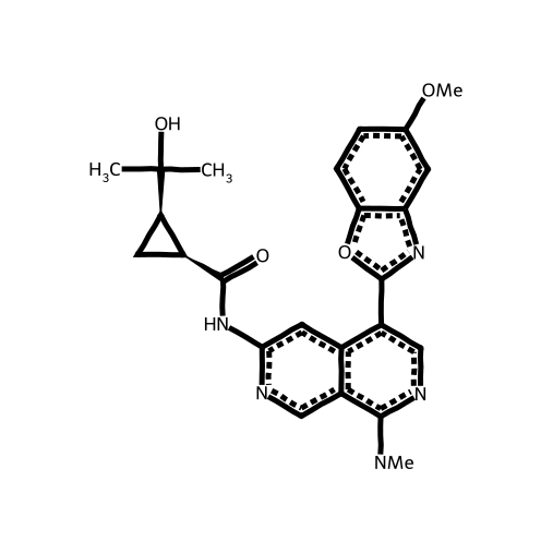 CNc1ncc(-c2nc3cc(OC)ccc3o2)c2cc(NC(=O)[C@H]3C[C@H]3C(C)(C)O)ncc12